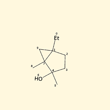 CCC12CCC(C)(O)C1(C)C2